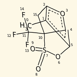 Cc1c2oc3c1OS(=O)(=O)C3(C(F)(F)F)C2